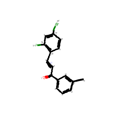 Cc1cccc(C(=O)/C=C/c2ccc(Br)cc2F)c1